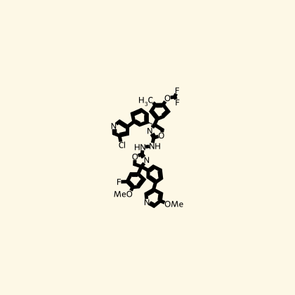 COc1cncc(-c2cccc(C3(c4ccc(OC)c(F)c4)COC(NNC4=N[C@@](c5cccc(-c6cncc(Cl)c6)c5)(c5ccc(OC(F)F)c(C)c5)CO4)=N3)c2)c1